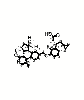 COc1cc(-c2ccc(COc3cccc([C@H](CC(=O)O)CC4CC4)c3F)cc2[C@H]2CCCC2(C)C)c(F)cn1